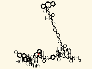 CCCC1O[C@@H]2C[C@H]3[C@@H]4CCC5=CC(=O)C=C[C@]5(C)[C@H]4[C@@H](O)C[C@]3(C)[C@]2(C(=O)COC(Cc2ccccc2)NC(=O)CNC(=O)OCc2ccc(NC(=O)[C@H](CCCNC(N)=O)NC(=O)[C@@H](NC(=O)CCOCCOCCOCCOCCNC(=O)CCC(=O)N3Cc4ccccc4C#Cc4ccccc43)C(C)C)cc2)O1